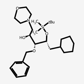 CC(C)(C)[Si](C)(C)O[C@H](CC1CCCCC1)[C@H](OCc1ccccc1)[C@@H](O)CN1CCOCC1